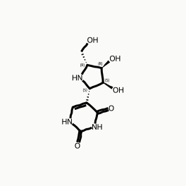 O=c1[nH]cc([C@@H]2N[C@H](CO)[C@@H](O)[C@H]2O)c(=O)[nH]1